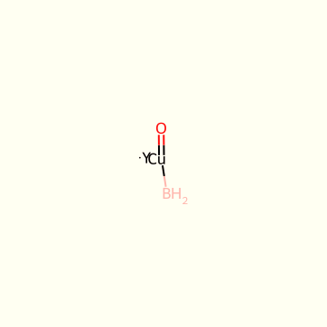 [BH2][Cu]=[O].[Y]